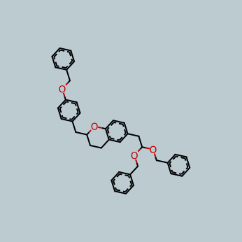 c1ccc(COc2ccc(CC3CCc4cc(CC(OCc5ccccc5)OCc5ccccc5)ccc4O3)cc2)cc1